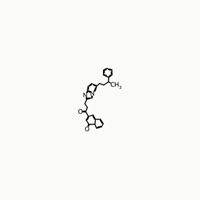 CC(CCc1ccc2nc(CCC(=O)C3=CC(=O)C4C=CC=CC4=C3)cn2c1)c1ccccc1